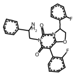 NC(Cn1c(=O)c(-c2ccccc2F)c2n(c1=O)C(c1ccccc1F)CO2)c1ccccc1